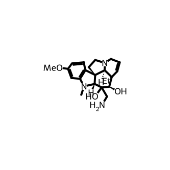 CCC12C=CCN3CC[C@@]4(c5ccc(OC)cc5N(C)[C@H]4C(O)(CN)[C@@H]1O)[C@@H]32